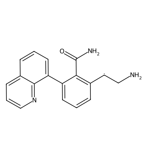 NC[CH]c1cccc(-c2cccc3cccnc23)c1C(N)=O